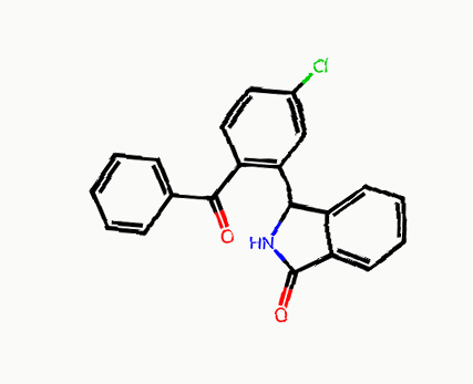 O=C1NC(c2cc(Cl)ccc2C(=O)c2ccccc2)c2ccccc21